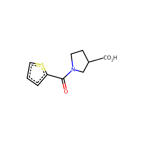 O=C(O)C1CCN(C(=O)c2cccs2)C1